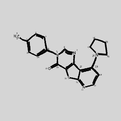 Cc1ccc(-n2cnc3c(sc4nccc(N5CCCC5)c43)c2=O)cc1